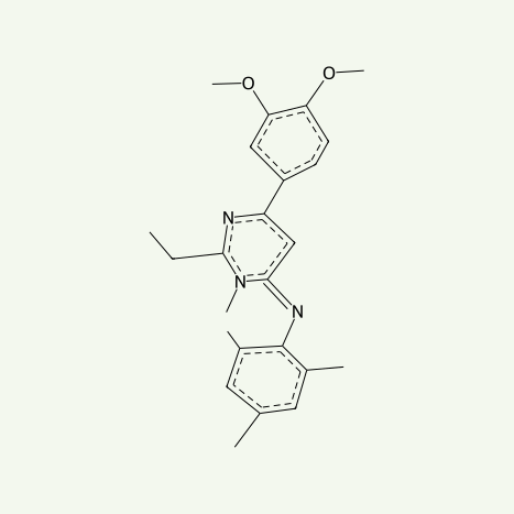 CCc1nc(-c2ccc(OC)c(OC)c2)c/c(=N/c2c(C)cc(C)cc2C)n1C